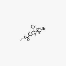 CCCOC(=O)c1ccc2c(C3CCCC3)c(-c3ncc(Br)cn3)n(C)c2c1